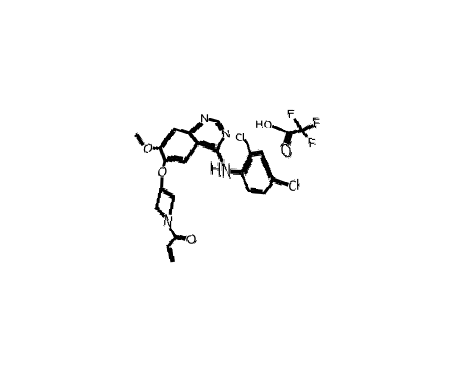 C=CC(=O)N1CC(Oc2cc3c(Nc4ccc(Cl)cc4Cl)ncnc3cc2OC)C1.O=C(O)C(F)(F)F